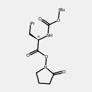 CC(C)C[C@@H](NC(=O)OC(C)(C)C)C(=O)ON1CCCC1=O